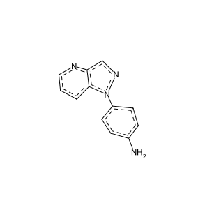 Nc1ccc(-n2ncc3ncccc32)cc1